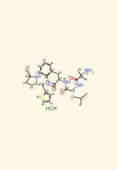 CC(C)C[C@@H](NC(=O)C(C)(C)N)C(=O)NC1Cc2cccc(N3CCCC3=O)c2N(Cc2cccs2)C1=O.Cl